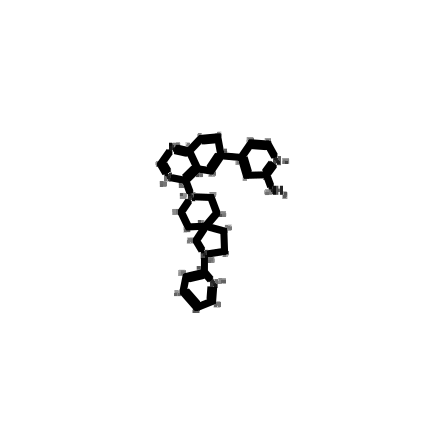 Nc1cc(-c2ccc3ncnc(N4CCC5(CCN(c6ccccn6)C5)CC4)c3c2)ccn1